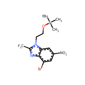 CC(C)(C)[Si](C)(C)OCCn1c(C(F)(F)F)nc2c(Br)cc([N+](=O)[O-])cc21